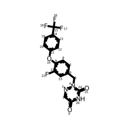 O=c1cnn(Cc2ccc(Oc3ccc(C(F)(F)F)cc3)c(F)c2)c(=O)[nH]1